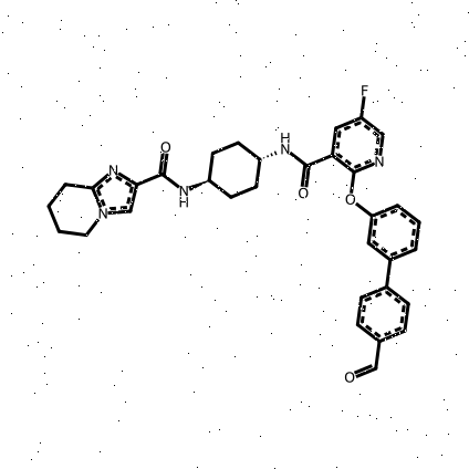 O=Cc1ccc(-c2cccc(Oc3ncc(F)cc3C(=O)N[C@H]3CC[C@H](NC(=O)c4cn5c(n4)CCCC5)CC3)c2)cc1